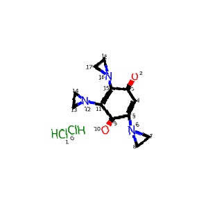 Cl.Cl.O=C1C=C(N2CC2)C(=O)C(N2CC2)=C1N1CC1